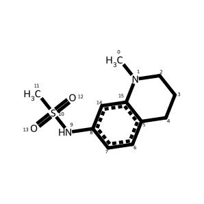 CN1CCCc2ccc(NS(C)(=O)=O)cc21